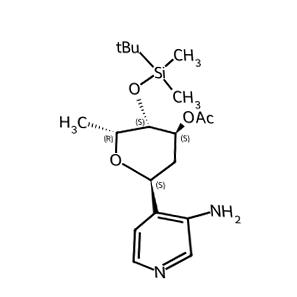 CC(=O)O[C@H]1C[C@@H](c2ccncc2N)O[C@H](C)[C@@H]1O[Si](C)(C)C(C)(C)C